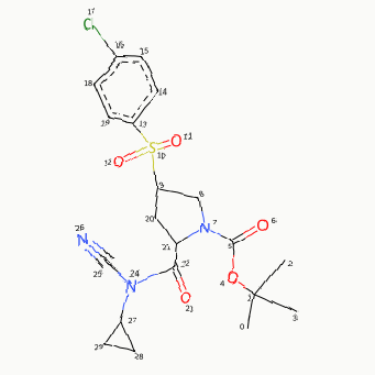 CC(C)(C)OC(=O)N1CC(S(=O)(=O)c2ccc(Cl)cc2)CC1C(=O)N(C#N)C1CC1